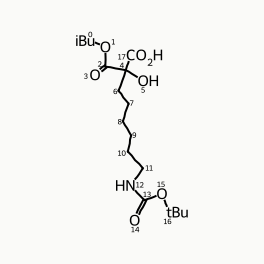 CCC(C)OC(=O)C(O)(CCCCCCNC(=O)OC(C)(C)C)C(=O)O